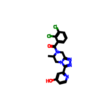 CC1Cn2c(nnc2-c2cc(O)ccn2)CN1C(=O)c1cccc(Cl)c1Cl